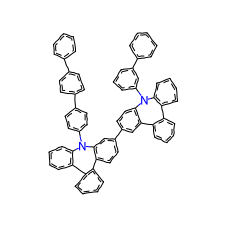 c1ccc(-c2ccc(-c3ccc(N4c5ccccc5-c5ccccc5-c5ccc(-c6ccc7c(c6)-c6ccccc6-c6ccccc6N7c6cccc(-c7ccccc7)c6)cc54)cc3)cc2)cc1